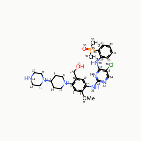 COc1cc(N2CCC(N3CCNCC3)CC2)c(CO)cc1Nc1ncc(Cl)c(Nc2ccccc2P(C)(C)=O)n1